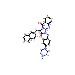 CN1CCN(c2ccc(CN3C(=O)C(Cc4ccc5ccccc5c4)n4c3nc3ccccc3c4=O)cc2)CC1